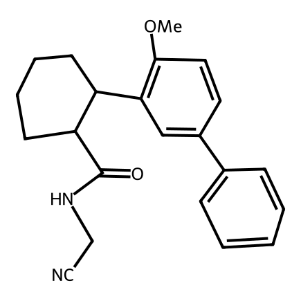 COc1ccc(-c2ccccc2)cc1C1CCCCC1C(=O)NCC#N